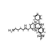 NCCCCNC[C@H]1CC[C@@H]2[C@H](O1)c1cc(C(F)(F)F)ccc1N[C@H]2C1C=CC=CC1